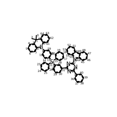 CC1(C)c2ccccc2B(c2ccc([Si](c3ccccc3)(c3ccccc3)c3cccc(-c4nc(-c5ccccc5)nc(-n5c6ccccc6c6ccccc65)n4)c3)cc2)c2ccccc21